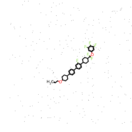 C=CCOC1CCC(c2ccc(-c3ccc(C4CCC(C(F)(F)Oc5cc(F)c(F)c(F)c5)CC4)c(F)c3)cc2)CC1